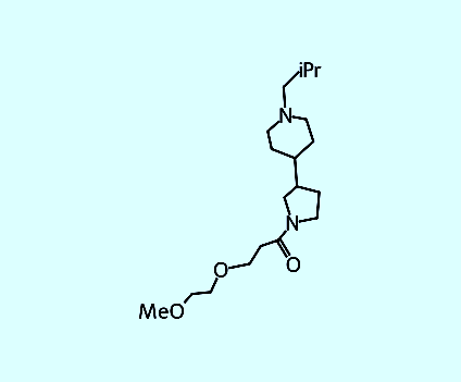 COCCOCCC(=O)N1CCC(C2CCN(CC(C)C)CC2)C1